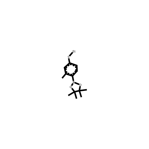 CCSc1ccc(B2OC(C)(C)C(C)(C)O2)c(C)c1